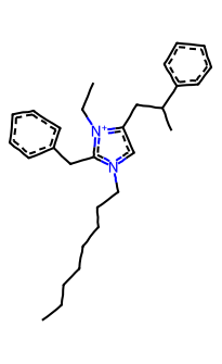 CCCCCCCCn1cc(CC(C)c2ccccc2)[n+](CC)c1Cc1ccccc1